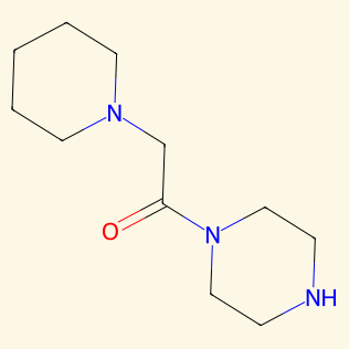 O=C(CN1CCCCC1)N1CCNCC1